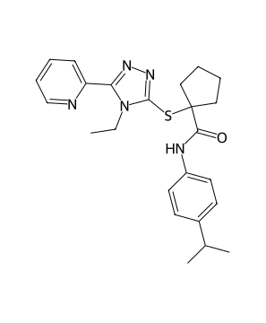 CCn1c(SC2(C(=O)Nc3ccc(C(C)C)cc3)CCCC2)nnc1-c1ccccn1